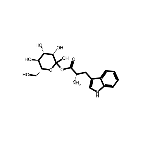 N[C@@H](Cc1c[nH]c2ccccc12)C(=O)OC1(O)O[C@H](CO)[C@@H](O)[C@H](O)[C@@H]1O